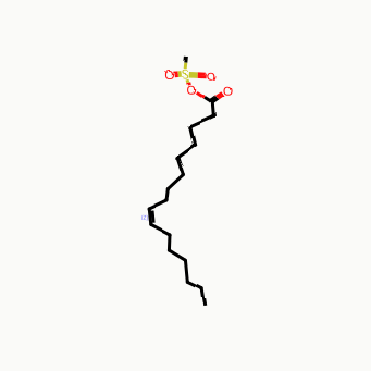 CCCCCC/C=C\CCCCCCCC(=O)OS(C)(=O)=O